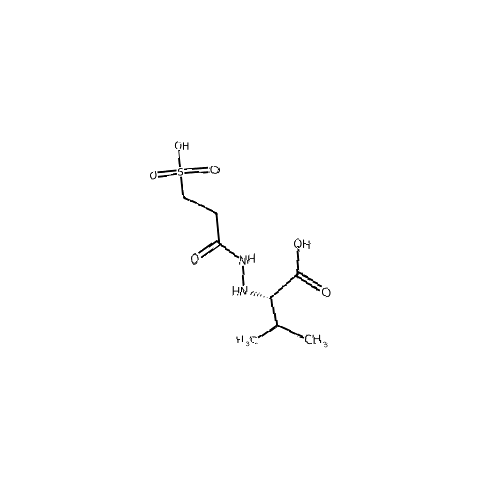 CC(C)[C@H](NNC(=O)CCS(=O)(=O)O)C(=O)O